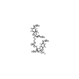 CCCCN=NC(C)(CCCOC(=O)OCCCC(C)(N=NCCCC)Oc1ccc(SC(C)(C)C)cc1)Oc1ccc(SC(C)(C)C)cc1